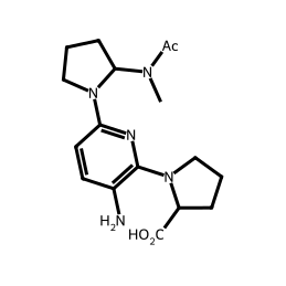 CC(=O)N(C)C1CCCN1c1ccc(N)c(N2CCCC2C(=O)O)n1